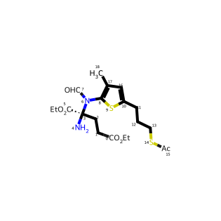 CCOC(=O)CC[C@](N)(C(=O)OCC)N(C=O)c1sc(CCCSC(C)=O)cc1C